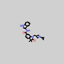 CC1(C)C(=O)N(CC2CN(C3CC3)C2)c2cc(C(=O)Nc3c[nH]c4ccccc34)ccc21